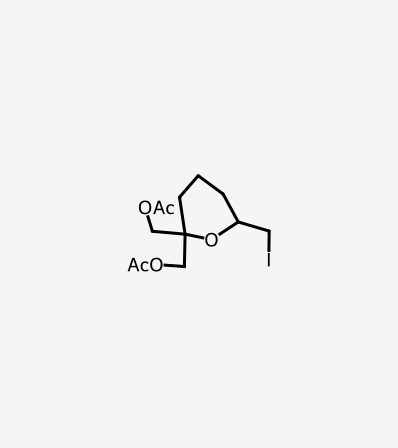 CC(=O)OCC1(COC(C)=O)CCCC(CI)O1